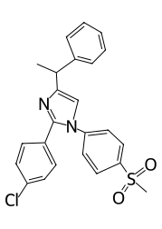 CC(c1ccccc1)c1cn(-c2ccc(S(C)(=O)=O)cc2)c(-c2ccc(Cl)cc2)n1